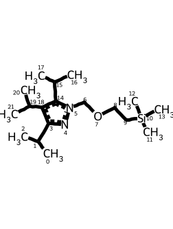 CC(C)c1nn(COCC[Si](C)(C)C)c(C(C)C)c1C(C)C